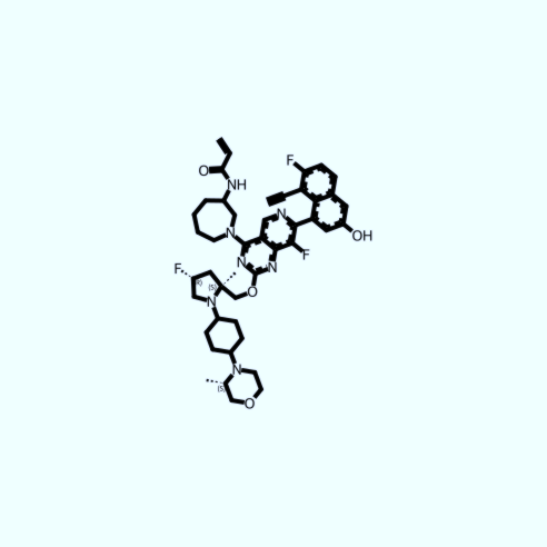 C#Cc1c(F)ccc2cc(O)cc(-c3ncc4c(N5CCCCC(NC(=O)C=C)C5)nc(OC[C@]5(C)C[C@@H](F)CN5C5CCC(N6CCOC[C@@H]6C)CC5)nc4c3F)c12